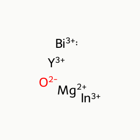 [Bi+3].[In+3].[Mg+2].[O-2].[Y+3]